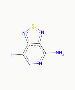 Nc1nnc(I)c2nsnc12